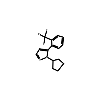 FC(F)(F)c1ccccc1-c1ccnn1C1CCCC1